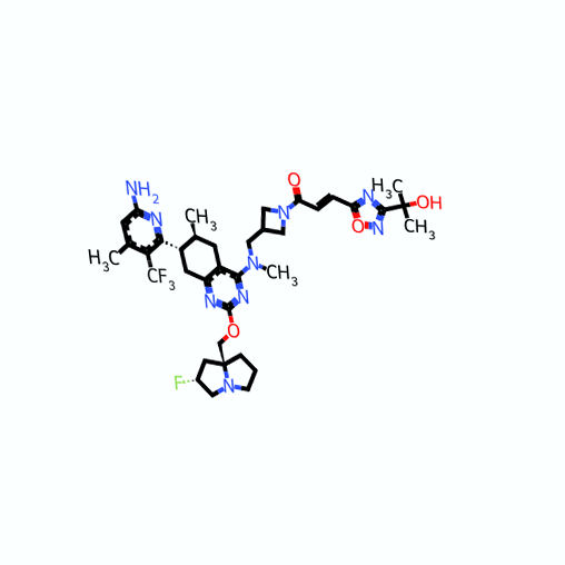 Cc1cc(N)nc([C@H]2Cc3nc(OC[C@@]45CCCN4C[C@H](F)C5)nc(N(C)CC4CN(C(=O)/C=C/c5nc(C(C)(C)O)no5)C4)c3C[C@@H]2C)c1C(F)(F)F